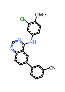 COc1ccc(Nc2ncnc3ccc(-c4cccc(C#N)c4)cc23)cc1Cl